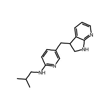 CC(C)CNc1ccc(CC2CNc3ncccc32)cn1